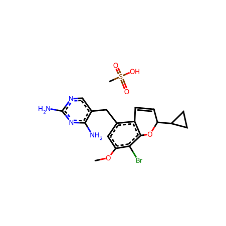 COc1cc(Cc2cnc(N)nc2N)c2c(c1Br)OC(C1CC1)C=C2.CS(=O)(=O)O